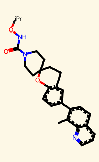 Cc1c(-c2ccc3c(c2)CCC2(CCN(C(=O)NOC(C)C)CC2)O3)ccc2cccnc12